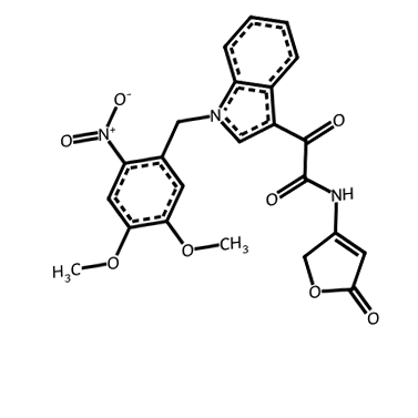 COc1cc(Cn2cc(C(=O)C(=O)NC3=CC(=O)OC3)c3ccccc32)c([N+](=O)[O-])cc1OC